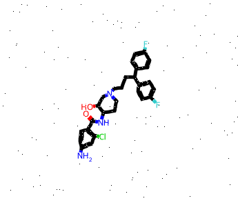 Nc1ccc(C(=O)NC2CCN(CCCC(c3ccc(F)cc3)c3ccc(F)cc3)CC2O)c(Cl)c1